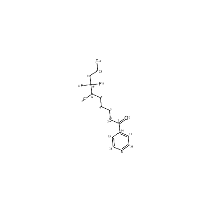 O=C(SCCCC(F)C(F)(F)CCF)c1ccccc1